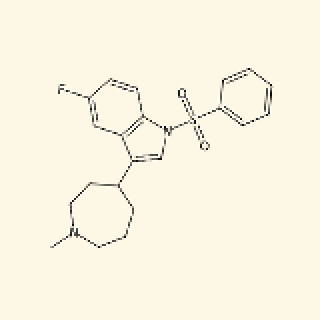 CN1CCCC(c2cn(S(=O)(=O)c3ccccc3)c3ccc(F)cc23)CC1